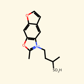 Cc1oc2cc3occc3cc2[n+]1CCC(C)S(=O)(=O)O